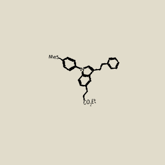 CCOC(=O)CCc1ccc2c(c1)c(CCc1ccccc1)cn2-c1ccc(SC)cc1